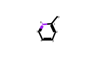 CC1=CC=CC=I1